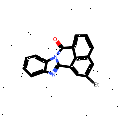 CCc1cc2cccc3c(=O)n4c5ccccc5nc4c(c1)c23